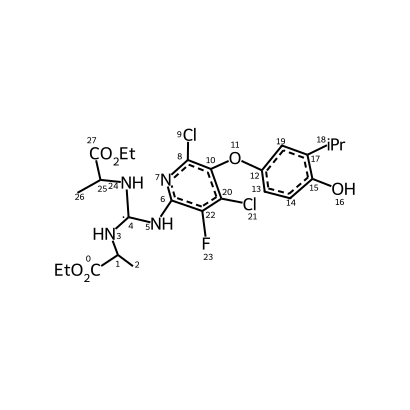 CCOC(=O)C(C)N[C](Nc1nc(Cl)c(Oc2ccc(O)c(C(C)C)c2)c(Cl)c1F)NC(C)C(=O)OCC